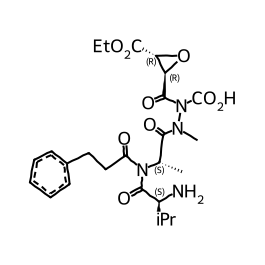 CCOC(=O)[C@@H]1O[C@H]1C(=O)N(C(=O)O)N(C)C(=O)[C@H](C)N(C(=O)CCc1ccccc1)C(=O)[C@@H](N)C(C)C